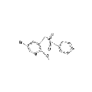 COc1ncc(Br)cc1CS(=O)(=O)c1ccccc1